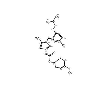 Cc1cc(NC(=O)OC2CCC(CO)CC2)nn1Cc1cc(Cl)ccc1OCC(C)C